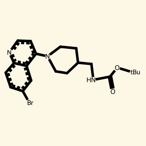 CC(C)(C)OC(=O)NCC1CCN(c2ccnc3ccc(Br)cc23)CC1